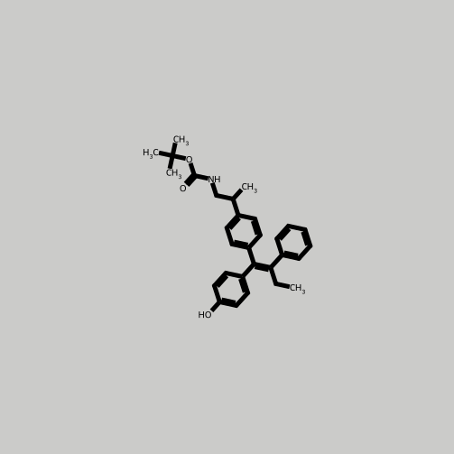 CC/C(=C(\c1ccc(O)cc1)c1ccc(C(C)CNC(=O)OC(C)(C)C)cc1)c1ccccc1